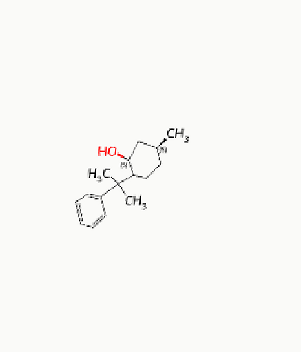 C[C@H]1CCC(C(C)(C)c2ccccc2)[C@@H](O)C1